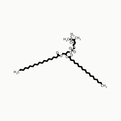 CCCCCCCCCCCCCCCCCC(=O)OCC(COP(=O)([O-])OCCC(C)[N+](C)(C)C)OC(=O)CCCCCCCCCCCCCCCCC